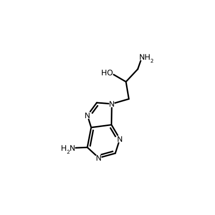 NCC(O)Cn1cnc2c(N)ncnc21